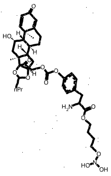 CCCC1O[C@@H]2C[C@H]3[C@@H]4CCC5=CC(=O)C=C[C@]5(C)[C@H]4[C@@H](O)C[C@]3(C)C2(C(=O)COC(=O)Oc2ccc(CC(N)C(=O)OCCCCON(O)O)cc2)O1